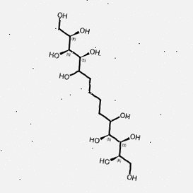 OC[C@@H](O)[C@H](O)[C@@H](O)C(O)CCCCC(O)[C@H](O)[C@@H](O)[C@H](O)CO